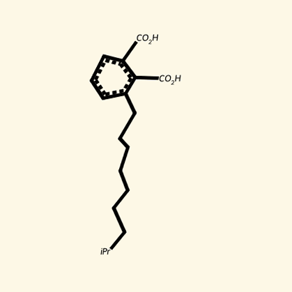 CC(C)CCCCCCCc1cccc(C(=O)O)c1C(=O)O